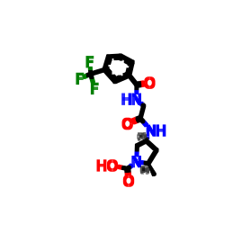 C[C@@H]1C[C@@H](NC(=O)CNC(=O)c2cccc(C(F)(F)F)c2)CN1C(=O)O